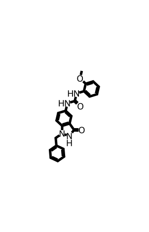 COc1ccccc1NC(=O)Nc1ccc2c(c1)c(=O)[nH]n2Cc1ccccc1